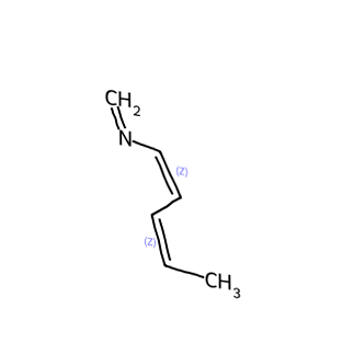 C=N/C=C\C=C/C